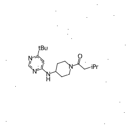 CC(C)CC(=O)N1CCC(Nc2cc(C(C)(C)C)ncn2)CC1